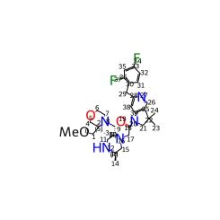 COC[C@@]1(C)COCCN1C[C@H]1CN[C@H](C)CN1CC(=O)N1CC(C)(C)c2cnc(Cc3ccc(F)cc3F)cc21